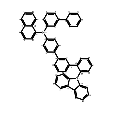 c1ccc(-c2cccc(N(c3ccc(-c4cccc(-c5ccccc5-n5c6ccccc6c6ccccc65)c4)cc3)c3cccc4ccccc34)c2)cc1